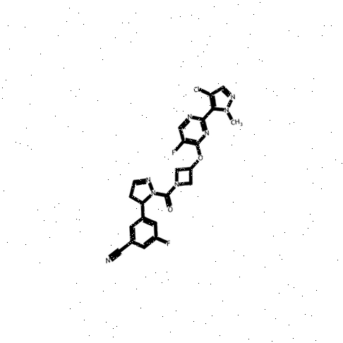 Cn1ncc(Cl)c1-c1ncc(F)c(OC2CN(C(=O)N3N=CCC3c3cc(F)cc(C#N)c3)C2)n1